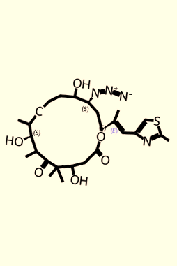 C/C(=C\c1csc(C)n1)[C@@H]1C[C@H](N=[N+]=[N-])C(O)CCCC(C)[C@H](O)C(C)C(=O)C(C)(C)C(O)CC(=O)O1